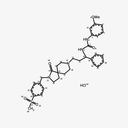 COc1cccc(NC(=O)NC(CCN2CCC3(CC2)CCN(Cc2ccc(S(C)(=O)=O)cc2)C3=O)c2ccccc2)c1.Cl